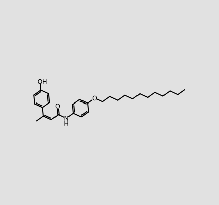 CCCCCCCCCCCCOc1ccc(NC(=O)C=C(C)c2ccc(O)cc2)cc1